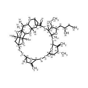 C=C1C[C@@H]2CC[C@@]34C[C@@H]5O[C@@H]6C(O[C@H]7CCC(CC(=O)C[C@@H]8[C@@H](OC)[C@@H](C[C@H](O)CN)O[C@H]8CC8O[C@@H](CCC1O2)C[C@@H](C)C8=C)OC7[C@@H]6O3)[C@@H]5O4